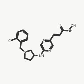 O=C(/C=C/c1cnc(N[C@@H]2CCN(Cc3ccccc3Cl)C2)cn1)NO